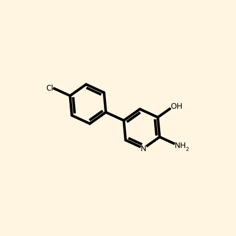 Nc1ncc(-c2ccc(Cl)cc2)cc1O